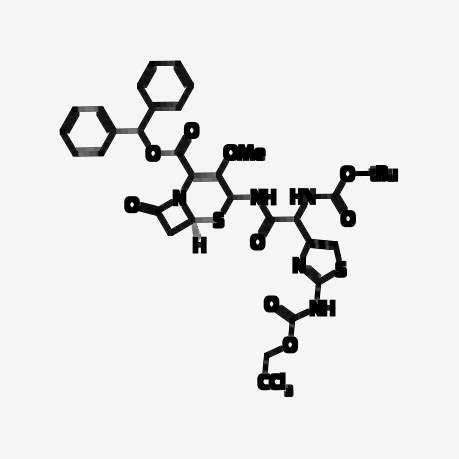 COC1=C(C(=O)OC(c2ccccc2)c2ccccc2)N2C(=O)C[C@@H]2SC1NC(=O)C(NC(=O)OC(C)(C)C)c1csc(NC(=O)OCC(Cl)(Cl)Cl)n1